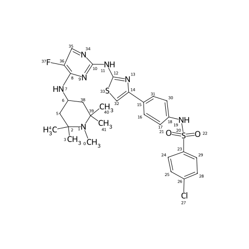 CN1C(C)(C)CC(Nc2nc(Nc3nc(-c4ccc(NS(=O)(=O)c5ccc(Cl)cc5)cc4)cs3)ncc2F)CC1(C)C